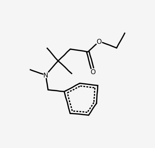 CCOC(=O)CC(C)(C)N(C)Cc1ccccc1